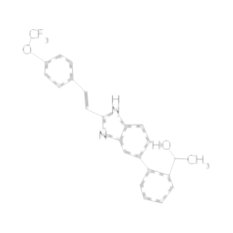 CC(O)c1ccccc1-c1ccc2[nH]c(/C=C/c3ccc(OC(F)(F)F)cc3)nc2c1